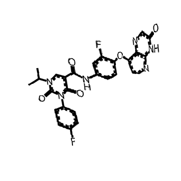 CC(C)n1cc(C(=O)Nc2ccc(Oc3ccnc4[nH]c(=O)cnc34)c(F)c2)c(=O)n(-c2ccc(F)cc2)c1=O